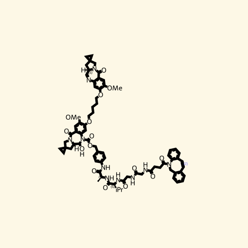 COc1cc2c(cc1OCCCCCOc1cc3c(cc1OC)C(=O)N1CC4(CC4)C[C@H]1C(O)N3C(=O)OCc1ccc(NC(=O)[C@H](C)NC(=O)[C@@H](NC(=O)CNC(=O)CNC(=O)CCC(=O)N3Cc4ccccc4/C=C\c4ccccc43)C(C)C)cc1)N=C[C@@H]1CC3(CC3)CN1C2=O